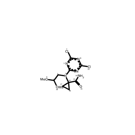 COC(CN(c1nc(Cl)nc(Cl)n1)C1(C(N)=O)CC1)OC